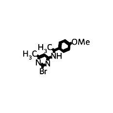 COc1ccc(C(C)Nc2cc(C)nc(Br)n2)cc1